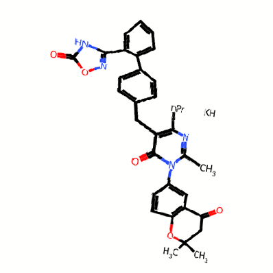 CCCc1nc(C)n(-c2ccc3c(c2)C(=O)CC(C)(C)O3)c(=O)c1Cc1ccc(-c2ccccc2-c2noc(=O)[nH]2)cc1.[KH]